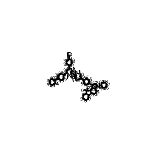 CC1(C)c2ccccc2-c2ccc3c(c(-c4ccc(-c5cnc(-c6nc(-c7ccc(F)cc7)cc(-c7ccc(-c8ccccc8)cc7)n6)nc5)cc4)cn3-c3ccccc3)c21